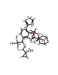 CC(C)(C)OC(=O)N1C2CC1CN(c1nc3c(C(OCC4(O)CC4)C(F)(F)F)ccc(-c4cscn4)c3o1)C2